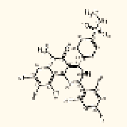 CNS(=O)(=O)C1=CC[C@H](C2=C(C(=O)OC)C(c3ccc(F)c(F)c3Cl)N=C(c3c(F)cc(F)cc3F)N2)CC1